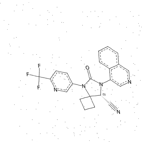 N#C[C@H]1N(c2cncc3ccccc23)C(=O)N(c2ccc(C(F)(F)F)nc2)C12CCC2